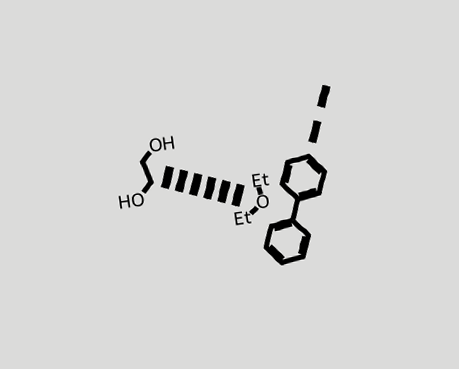 C=C.C=C.C=C.C=C.C=C.C=C.C=C.C=C.CCOCC.OCCO.c1ccc(-c2ccccc2)cc1